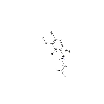 COc1c(Br)ccc(/C=N/NC(C)C)c1Br.Cl